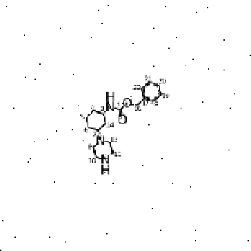 O=C(N[C@H]1CCC[C@@H](N2CCNCC2)C1)OCc1ccccc1